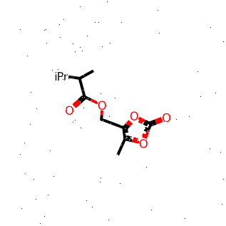 Cc1oc(=O)oc1COC(=O)C(C)C(C)C